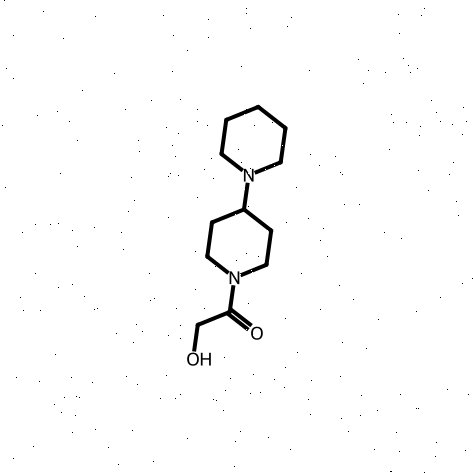 O=C(CO)N1CCC(N2CCCCC2)CC1